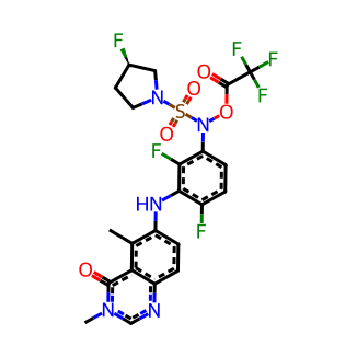 Cc1c(Nc2c(F)ccc(N(OC(=O)C(F)(F)F)S(=O)(=O)N3CC[C@@H](F)C3)c2F)ccc2ncn(C)c(=O)c12